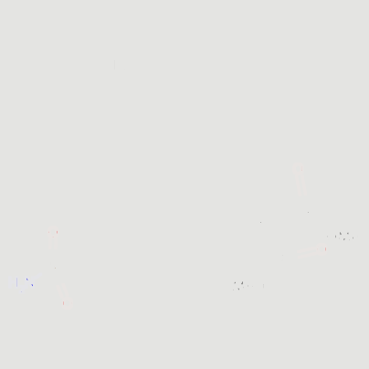 COC(=O)C1(C(=O)OC)C=C(c2ccc(C(F)(F)F)cc2)C(c2ccc(S(N)(=O)=O)cc2)=C1